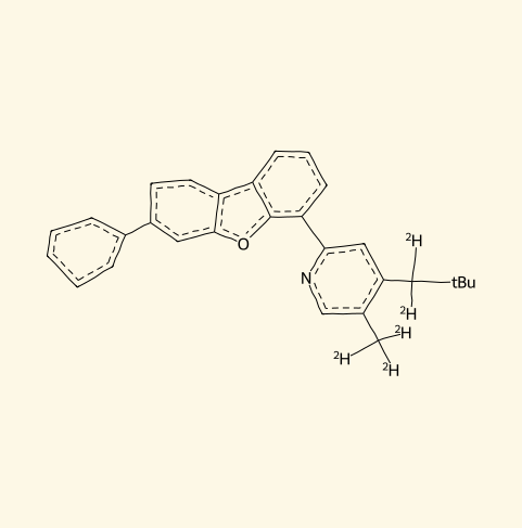 [2H]C([2H])([2H])c1cnc(-c2cccc3c2oc2cc(-c4ccccc4)ccc23)cc1C([2H])([2H])C(C)(C)C